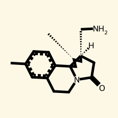 Cc1ccc2c(c1)CCN1C(=O)C[C@H]3[C@H](CN)[C@@H](C)CC231